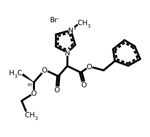 CCO[C@@H](C)OC(=O)C(C(=O)OCc1ccccc1)n1cc[n+](C)c1.[Br-]